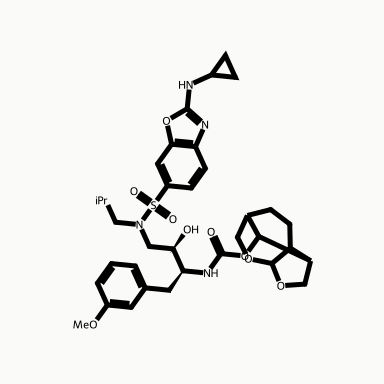 COc1cccc(C[C@H](NC(=O)OC2C3CCC4C(OC3)OCC42)[C@H](O)CN(CC(C)C)S(=O)(=O)c2ccc3nc(NC4CC4)oc3c2)c1